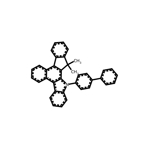 CC1(C)c2ccccc2-c2c1c1c(c3ccccc23)c2ccccc2n1-c1ccc(-c2ccccc2)cc1